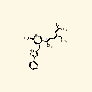 C=C(Cl)\C=C(Oc1cc(-c2ccccc2)n[nH]1)/C(=C\C(C)CC)C(/C)=C/C=C(\C=C(/C)CC)CN